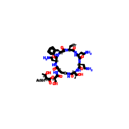 CC(=O)N[C@H](C(=O)O[C@H](CO)C(=O)N[C@H]1CCNC(=O)[C@H]([C@@H](C)O)NC(=O)[C@H](CCN)NC(=O)[C@H](CCN)NC(=O)[C@H](CC(C)C)NC(=O)[C@@H](Cc2ccccc2)NC(=O)[C@H](CCN)NC1=O)[C@@H](C)O